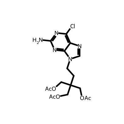 CC(=O)OCC(CCn1cnc2c(Cl)nc(N)nc21)(COC(C)=O)COC(C)=O